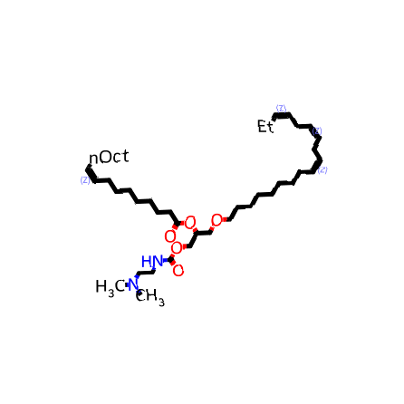 CC/C=C\C/C=C\C/C=C\CCCCCCCCOCC(COC(=O)NCCN(C)C)OC(=O)CCCCCCC/C=C\CCCCCCCC